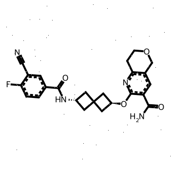 N#Cc1cc(C(=O)N[C@H]2CC3(C2)C[C@H](Oc2nc4c(cc2C(N)=O)COCC4)C3)ccc1F